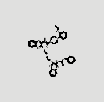 CCOc1ccccc1N1CCN(C(=O)Nc2nc3ccccc3nc2OCC)CC1.CCOc1nc2ccccc2nc1NC(=O)Oc1ccccc1